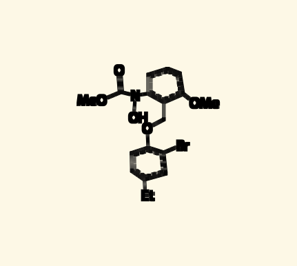 CCc1ccc(OCc2c(OC)cccc2N(O)C(=O)OC)c(Br)c1